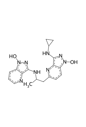 CC(Cc1ccc2c(n1)c(NC1CC1)nn2O)Nc1nn(O)c2cccnc12